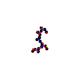 c1ccc(-c2cccc(-n3c4ccccc4c4cc(-n5c6ccccc6c6cc(-c7ccc8c(c7)c7ccccc7n8-c7ccc(-c8ccc9c(c8)c8cc(-c%10ccc%11c(c%10)c%10ccccc%10n%11-c%10ccc%11oc%12ccccc%12c%11c%10)ccc8n9-c8ccc9sc%10ccccc%10c9c8)cc7)ccc65)ccc43)c2)cc1